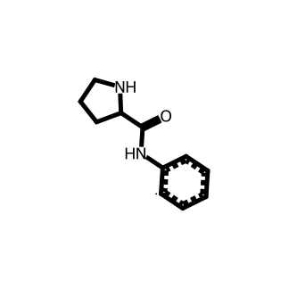 O=C(Nc1[c]cccc1)C1CCCN1